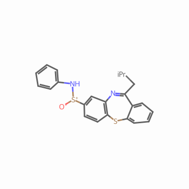 CC(C)CC1=Nc2cc([S+]([O-])Nc3ccccc3)ccc2Sc2ccccc21